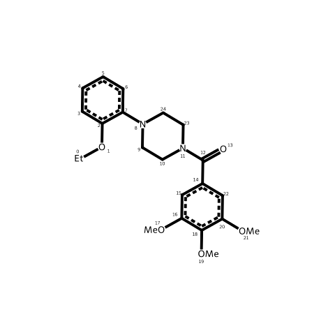 CCOc1ccccc1N1CCN(C(=O)c2cc(OC)c(OC)c(OC)c2)CC1